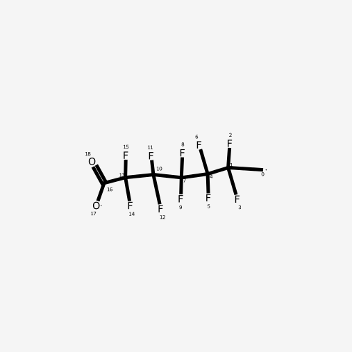 [CH2]C(F)(F)C(F)(F)C(F)(F)C(F)(F)C(F)(F)C([O])=O